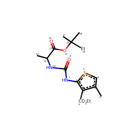 CCOC(=O)c1c(C)csc1NC(=O)NC(C)C(=O)OC(C)(C)CC